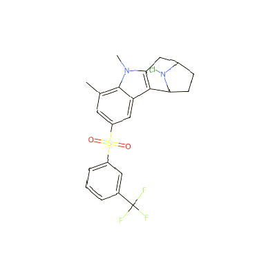 Cc1cc(S(=O)(=O)c2cccc(C(F)(F)F)c2)cc2c3c(n(C)c12)CC1CCC3N1Cl